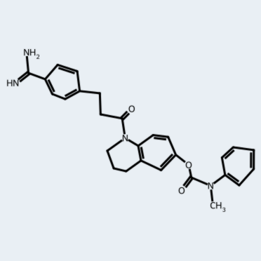 CN(C(=O)Oc1ccc2c(c1)CCCN2C(=O)CCc1ccc(C(=N)N)cc1)c1ccccc1